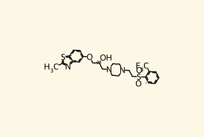 Cc1nc2cc(OC[C@H](O)CN3CCN(CCS(=O)(=O)c4[c]cccc4C(F)(F)F)CC3)ccc2s1